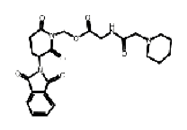 O=C(CN1CCCCC1)NCC(=O)OCN1C(=O)CCC(N2C(=O)c3ccccc3C2=O)C1=O